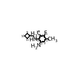 Cc1cc(N)c(NCC2CCC2)c(C)c1F